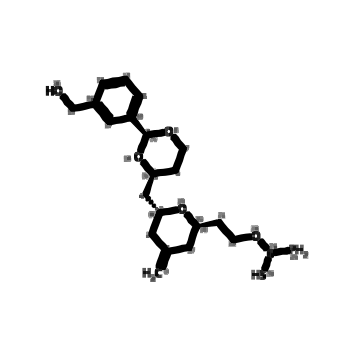 C=C1C[C@H](C[C@@H]2CCO[C@H](c3cccc(CO)c3)O2)O[C@@H](CCOB(P)S)C1